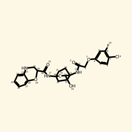 O=C(COc1ccc(Cl)c(F)c1)NC12CCC(NC(=O)C3CNc4ccccc4O3)(CC1)CC2O